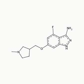 CN1CCC(COc2cc(F)c3c(N)n[nH]c3c2)C1